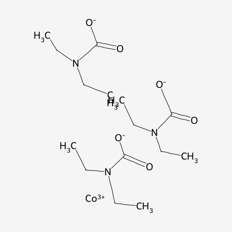 CCN(CC)C(=O)[O-].CCN(CC)C(=O)[O-].CCN(CC)C(=O)[O-].[Co+3]